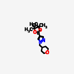 CC1(C)OB(c2cnn(CC3CCOCC3)c2)OC1(C)C